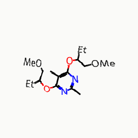 CCC(COC)Oc1nc(C)nc(OC(CC)COC)c1C